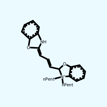 CCCCC[N+]1(CCCCC)c2ccccc2OC1C=CC=C1Nc2ccccc2O1